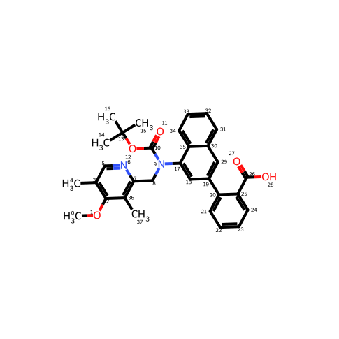 COc1c(C)cnc(CN(C(=O)OC(C)(C)C)c2cc(-c3ccccc3C(=O)O)cc3ccccc23)c1C